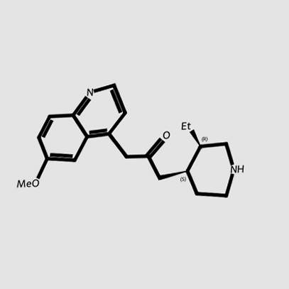 CC[C@H]1CNCC[C@H]1CC(=O)Cc1ccnc2ccc(OC)cc12